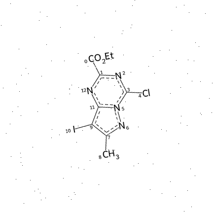 CCOC(=O)c1nc(Cl)n2nc(C)c(I)c2n1